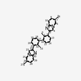 Cc1c(-c2cn3cc(I)ccc3n2)cccc1-c1cccc(-c2cn3cc(I)ccc3n2)c1C